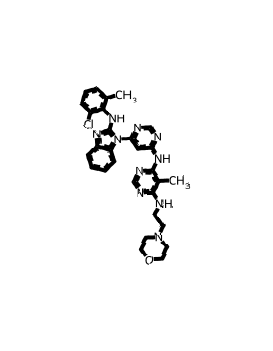 Cc1cccc(Cl)c1Nc1nc2ccccc2n1-c1cc(Nc2ncnc(NCCN3CCOCC3)c2C)ncn1